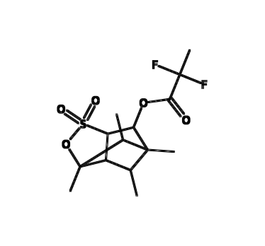 CC1C2C3C(OC(=O)C(C)(F)F)C1(C)C(C)C2(C)OS3(=O)=O